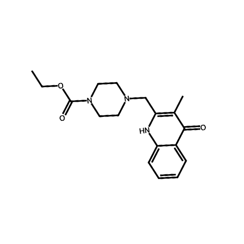 CCOC(=O)N1CCN(Cc2[nH]c3ccccc3c(=O)c2C)CC1